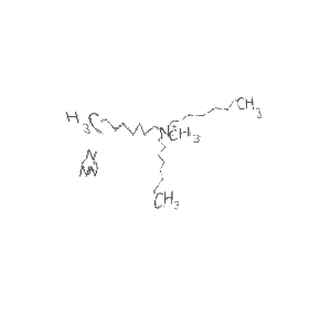 C1=NCN=N1.CCCCCCCC[N+](C)(CCCCCCCC)CCCCCCCC